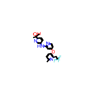 Cc1ccc(Oc2ccnc(Nc3ccc(C(C)(C)O)nc3)c2)c(CC(F)(F)F)n1